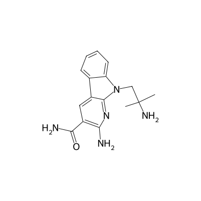 CC(C)(N)Cn1c2ccccc2c2cc(C(N)=O)c(N)nc21